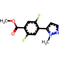 COC(=O)c1cc(F)c(-c2ccnn2C)cc1F